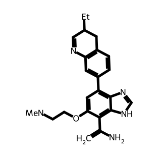 C=C(N)c1c(OCCNC)cc(-c2ccc3c(c2)N=CC(CC)C3)c2nc[nH]c12